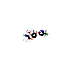 CC(=O)OC(C#N)C(C)Oc1ccc(Oc2ccc(C(F)(F)F)cn2)cc1